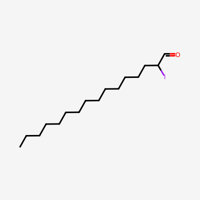 CCCCCCCCCCCCCCC(I)C=O